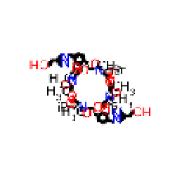 CC(C)C[C@H]1C(=O)O[C@H](Cc2ccc(Cn3cc(CCO)cn3)cc2)C(=O)N(C)[C@@H](CC(C)C)C(=O)O[C@H](C)C(=O)N(C)[C@@H](CC(C)C)C(=O)O[C@H](Cc2ccc(Cn3cc(CCO)cn3)cc2)C(=O)N(C)[C@@H](CC(C)C)C(=O)O[C@H](C)C(=O)N1C